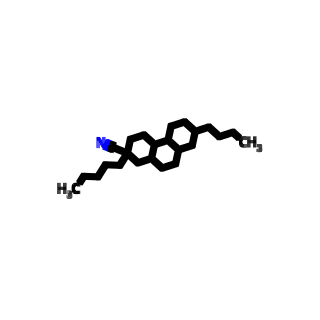 CCCCCC1(C#N)CCC2C(CCC3CC(CCCC)CCC32)C1